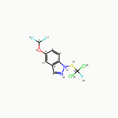 FC(F)Oc1ccc2c(cnn2SC(F)(Cl)Cl)c1